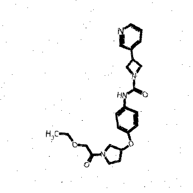 CCOCC(=O)N1CCC(Oc2ccc(NC(=O)N3CC(c4cccnc4)C3)cc2)C1